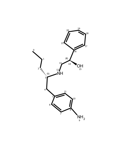 CCC[C@@H](Cc1ccc(N)cc1)NC[C@H](O)c1ccccc1